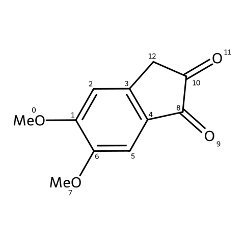 COc1cc2c(cc1OC)C(=O)C(=O)C2